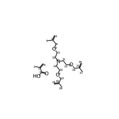 C=C(C)C(=O)O.C=C(C)COCCN(CCOCC(=C)C)CCOCC(=C)C